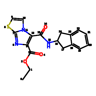 CCOC(=O)c1nc2sccn2c1C(=O)NC1Cc2ccccc2C1